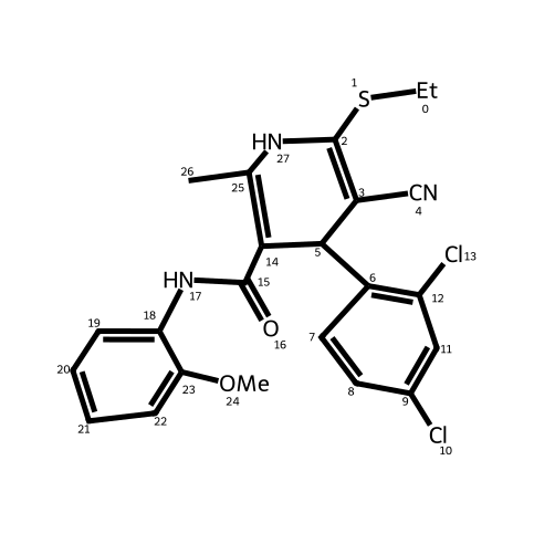 CCSC1=C(C#N)C(c2ccc(Cl)cc2Cl)C(C(=O)Nc2ccccc2OC)=C(C)N1